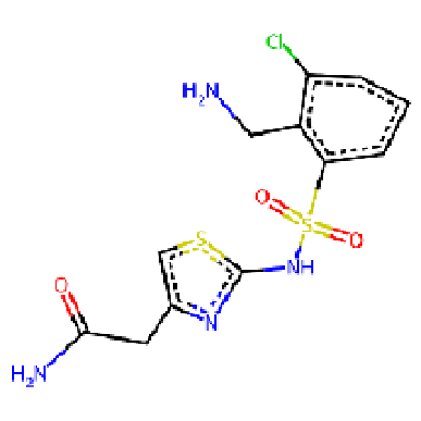 NCc1c(Cl)cccc1S(=O)(=O)Nc1nc(CC(N)=O)cs1